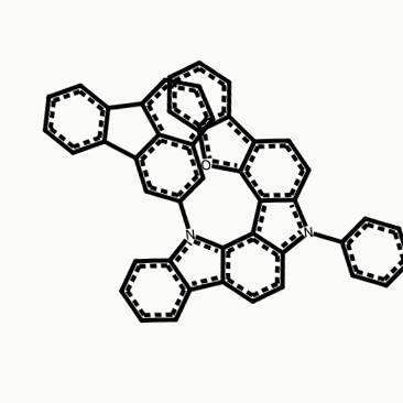 c1ccc(-n2c3ccc4c5ccccc5oc4c3c3c2ccc2c4ccccc4n(-c4cc5c6c(cccc6c4)-c4ccccc4-5)c23)cc1